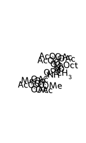 CCCCCCCCOc1c(O[C@@H]2O[C@H](COC(C)=O)[C@H](OC(C)=O)[C@H](OC(C)=O)[C@H]2OC(C)=O)c2ccc(NC(=O)C=Cc3cc(OC)c(O[C@@H]4O[C@H](COC(C)=O)[C@H](OC(C)=O)[C@H](OC(C)=O)[C@H]4OC(C)=O)c(OC)c3)cc2n(C)c1=O